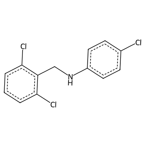 Clc1ccc(NCc2c(Cl)cccc2Cl)cc1